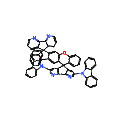 c1ccc2c(c1)Oc1cc3c(cc1C21c2cc(-n4c5ccccc5c5ccccc54)cnc2-c2ncc(-n4c5ccccc5c5ccccc54)cc21)-c1ccccc1C31c2cccnc2-c2ncccc21